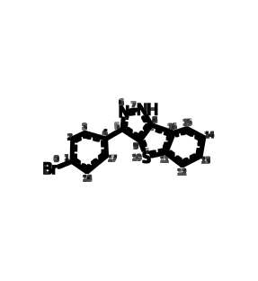 Brc1ccc(-c2n[nH]c3c2sc2ccccc23)cc1